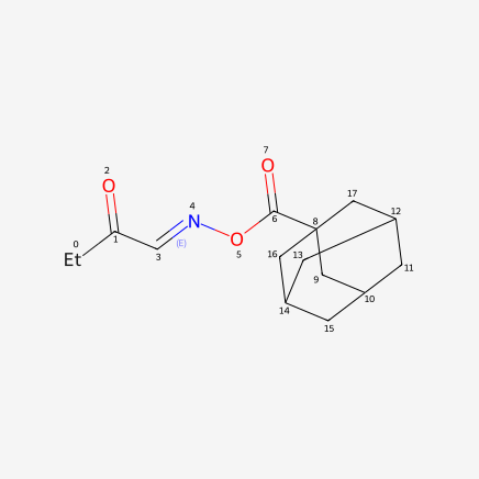 CCC(=O)/C=N/OC(=O)C12CC3CC(CC(C3)C1)C2